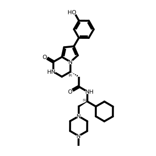 CN1CCN(C[C@@H](NC(=O)C[C@@H]2CNC(=O)c3cc(-c4cccc(O)c4)cn32)C2CCCCC2)CC1